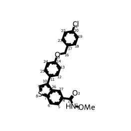 CONC(=O)c1ccc2scc(-c3ccc(OCc4ccc(Cl)cc4)cc3)c2c1